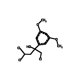 COc1cc(OC)cc(C(O)(CCl)CC(Cl)Cl)c1